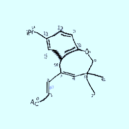 CC(=O)/C=C/C1=CC(C)(C)COc2ccc(C(C)C)cc21